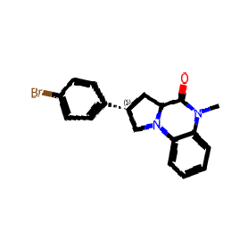 CN1C(=O)C2C[C@@H](c3ccc(Br)cc3)CN2c2ccccc21